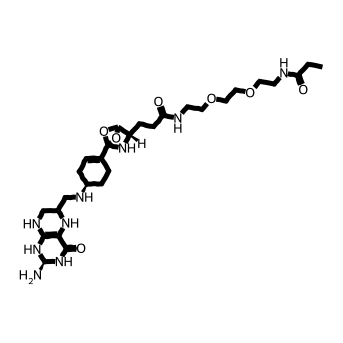 CCC(=O)NCCOCCOCCNC(=O)CC[C@@H]1NC2(C3=CC[C@H](NCC4CNC5=C(N4)C(=O)N[C@@H](N)N5)CC3)OC1O2